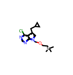 C[Si](C)(C)CCOCn1cc(CC2CC2)c2c(Cl)ncnc21